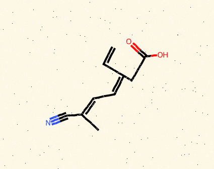 C=C/C(=C\C=C(/C)C#N)CC(=O)O